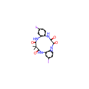 CC1(C)C(=O)Nc2cc(I)ccc2NC(=O)C(=O)Nc2ccc(I)cc2NC1=O